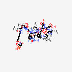 CC[C@H](C)[C@H](NC(=O)[C@H](CCC(=O)O)NC(=O)[C@H](CCC(=O)O)NC(=O)[C@H](Cc1ccccc1)NC(=O)[C@H](CC(C)C)NC(=O)[C@H](CCCNC(=N)N)NC(=O)[C@H](Cc1ccc(O)cc1)NC(=O)CNC(=O)[C@@H](NC(=O)[C@@H](NC(=O)CCCCCCC(=O)ON1C(=O)CC(S(=O)(=O)O)C1=O)C(C)C)[C@@H](C)O)C(=O)N[C@@H](CC(C)C)C(N)=O